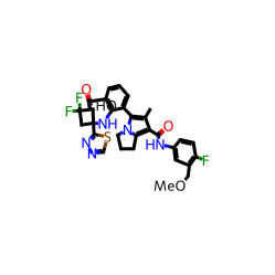 COCc1cc(NC(=O)c2c(C)c(-c3cccc(C(=O)C=O)c3NC3(c4nncs4)CC(F)(F)C3)n3c2CCC3)ccc1F